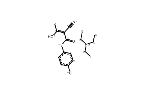 CC(O)=C(C#N)C(=O)Sc1ccc(Cl)cc1.CCN(CC)CC